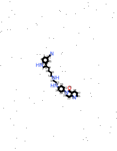 N#Cc1ccc2[nH]cc(CCCCNCCNc3ccc(-n4ccc5ncccc5c4=O)cc3)c2c1